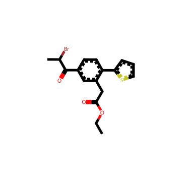 CCOC(=O)Cc1cc(C(=O)C(C)Br)ccc1-c1cccs1